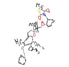 C=C1SC(=O)N(c2ccccc2OCC(CC2(C)CCc3c(C)c(OCc4ccccc4)c(C)c(C)c3O2)NC)C1=O